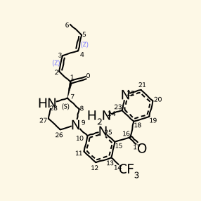 C=C(/C=C\C=C/C)[C@H]1CN(c2ccc(C(F)(F)F)c(C(=O)c3cccnc3N)n2)CCN1